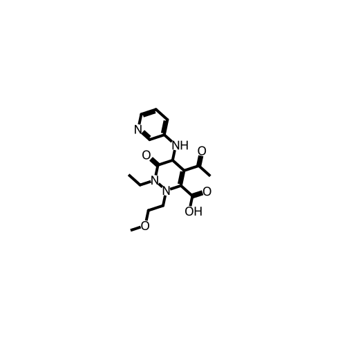 CCN1C(=O)C(Nc2cccnc2)C(C(C)=O)=C(C(=O)O)N1CCOC